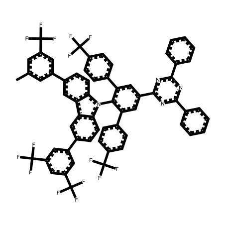 Cc1cc(-c2ccc3c(c2)c2cc(-c4cc(C(F)(F)F)cc(C(F)(F)F)c4)ccc2n3-c2c(-c3ccc(C(F)(F)F)cc3)cc(-c3nc(-c4ccccc4)nc(-c4ccccc4)n3)cc2-c2ccc(C(F)(F)F)cc2)cc(C(F)(F)F)c1